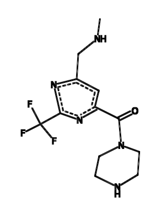 CNCc1cc(C(=O)N2CCNCC2)nc(C(F)(F)F)n1